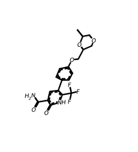 CC1COCC(COc2ccc(-c3cc(C(N)=O)c(=O)[nH]c3C(F)(F)F)cc2)O1